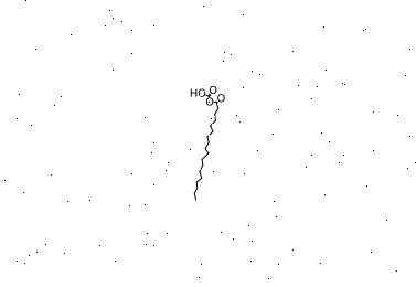 CCCCCCCCCCCCCCCCCC(=O)OC(=O)O